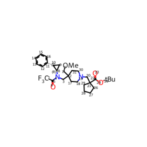 COCC1(CN(C(=O)C(F)(F)F)[C@@H]2C[C@H]2c2ccccc2)CCN(CC2(C(=O)OC(C)(C)C)CCCC2)CC1